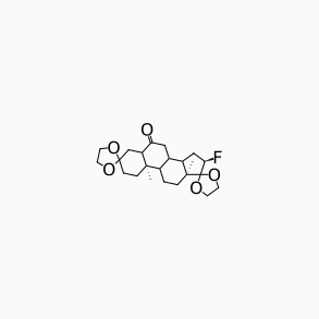 C[C@]12CCC3(CC1C(=O)CC1C2CC[C@@]2(C)C1C[C@@H](F)C21OCCO1)OCCO3